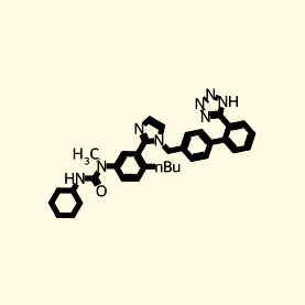 CCCCc1ccc(N(C)C(=O)NC2CCCCC2)cc1-c1nccn1Cc1ccc(-c2ccccc2-c2nnn[nH]2)cc1